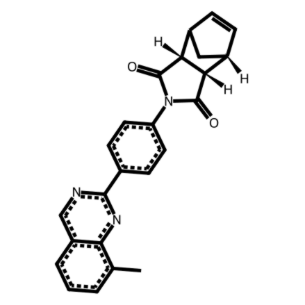 Cc1cccc2cnc(-c3ccc(N4C(=O)[C@@H]5[C@H](C4=O)C4C=C[C@H]5C4)cc3)nc12